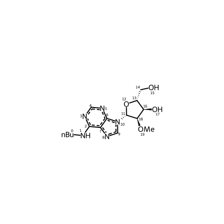 CCCCNc1ncnc2c1ncn2[C@@H]1O[C@H](CO)[C@@H](O)[C@H]1OC